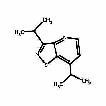 CC(C)c1nsc2c(C(C)C)ccnc12